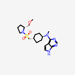 COC[C@H]1CCCN1S(=O)(=O)C[C@H]1CC[C@H](N(C)c2ncnc3[nH]ccc23)CC1